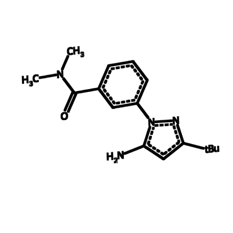 CN(C)C(=O)c1cccc(-n2nc(C(C)(C)C)cc2N)c1